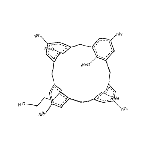 CCCc1cc2c(OC)c(c1)Cc1cc(CCC)cc(c1OC)Cc1cc(CCC)cc(c1OCCO)Cc1cc(CCC)cc(c1OC)C2